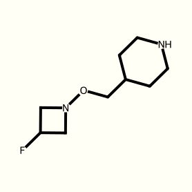 FC1CN(OCC2CCNCC2)C1